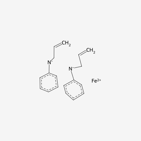 C=CC[N-]c1ccccc1.C=CC[N-]c1ccccc1.[Fe+2]